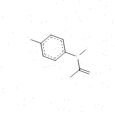 O=C(Cl)N(Br)c1ccc([N+](=O)[O-])cc1